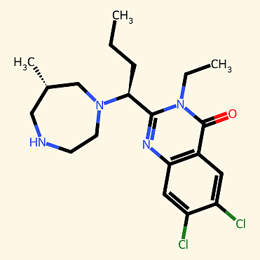 CCC[C@@H](c1nc2cc(Cl)c(Cl)cc2c(=O)n1CC)N1CCNC[C@H](C)C1